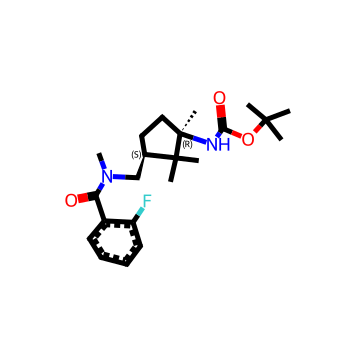 CN(C[C@H]1CC[C@@](C)(NC(=O)OC(C)(C)C)C1(C)C)C(=O)c1ccccc1F